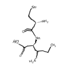 CCC(C)[C@H](NC(=O)[C@@H](N)CS)C(=O)O